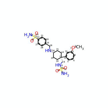 COc1cccc([C@]2(CNS(N)(=O)=O)CC[C@@H](NCc3ccc(S(N)(=O)=O)cc3)CC2)c1